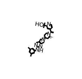 C=C(c1ccnc(C(C)(C)O)c1)N1CC[C@@H](N2Cc3cnc(Nc4cc(C)cc(C)c4)nc3C2)C[C@H]1C